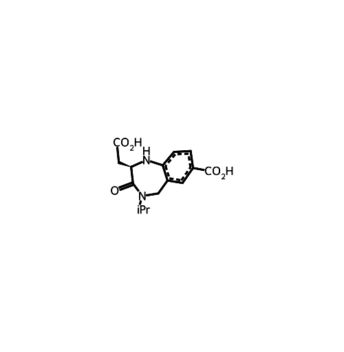 CC(C)N1Cc2cc(C(=O)O)ccc2N[C@H](CC(=O)O)C1=O